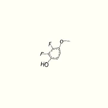 COc1ccc(O)c(F)c1F